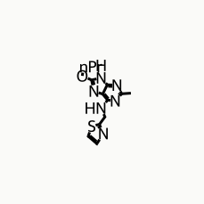 CCCOc1nc2c(NCc3nccs3)nc(C)nc2[nH]1